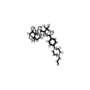 CCCN1CCN(c2ccc(C(=O)NC(C(=O)N3CC[C@H]4OCC(=O)[C@H]43)C(C)(C)C)cc2)CC1